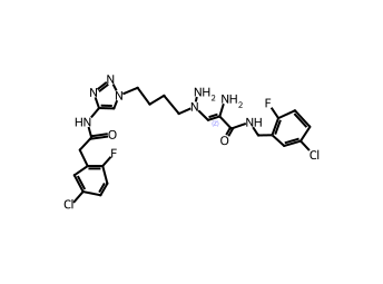 N/C(=C\N(N)CCCCn1cc(NC(=O)Cc2cc(Cl)ccc2F)nn1)C(=O)NCc1cc(Cl)ccc1F